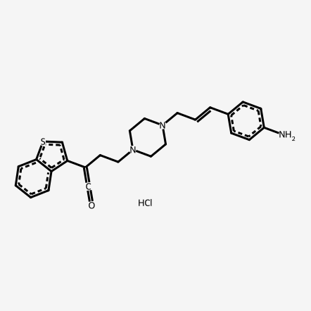 Cl.Nc1ccc(C=CCN2CCN(CCC(=C=O)c3csc4ccccc34)CC2)cc1